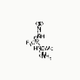 COc1cc(S(N)(=O)=O)ccc1NCC#Cc1cc2c(N[C@H]3CC[C@@H](N4CCC(S(C)(=O)=O)CC4)CC3)cccc2n1CC(F)(F)F